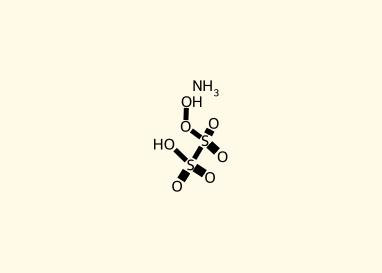 N.O=S(=O)(O)S(=O)(=O)OO